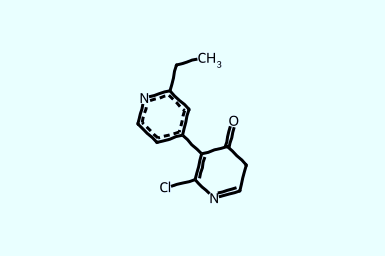 CCc1cc(C2=C(Cl)N=CCC2=O)ccn1